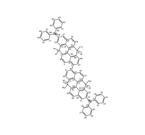 CC1(C)c2ccc3c(-c4ccc5c6c7c(ccc46)C(C)(C)c4cc(N(c6ccccc6)c6ccccc6)cc6ccc(c-7c46)C5(C)C)ccc4c3c2-c2c(ccc3cc(N(c5ccccc5)c5ccccc5)cc1c23)C4(C)C